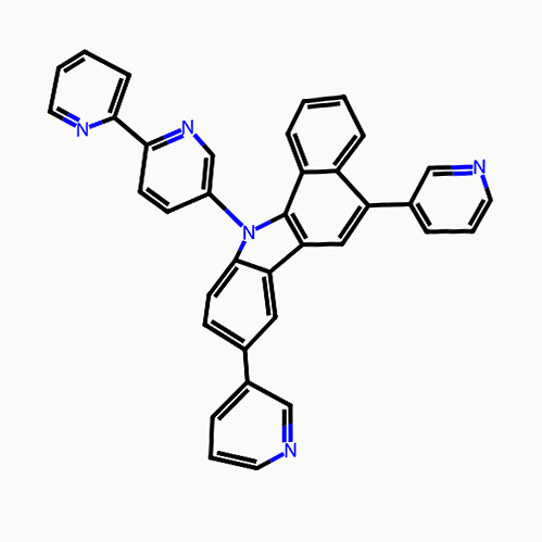 c1ccc(-c2ccc(-n3c4ccc(-c5cccnc5)cc4c4cc(-c5cccnc5)c5ccccc5c43)cn2)nc1